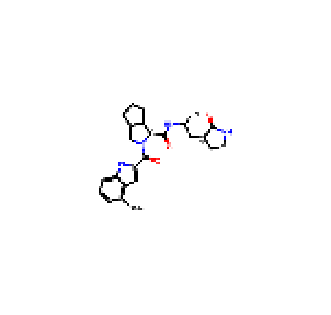 COc1cccc2[nH]c(C(=O)N3CC4CCCC4[C@H]3C(=O)NC(C#N)C[C@@H]3CCNC3=O)cc12